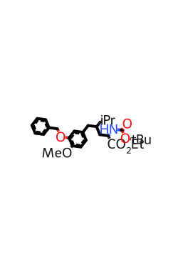 CCOC(=O)C(CC(Cc1ccc(OC)c(OCc2ccccc2)c1)C(C)C)NC(=O)OC(C)(C)C